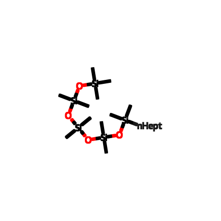 [CH2]CCCCCC[Si](C)(C)O[Si](C)(C)O[Si](C)(C)O[Si](C)(C)O[Si](C)(C)C